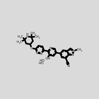 Cl.Cl.Cn1cc2cc(-c3cnc(-c4ccc(OC5CC(C)(C)NC(C)(C)C5)nn4)c(O)c3)cc(C#N)c2n1